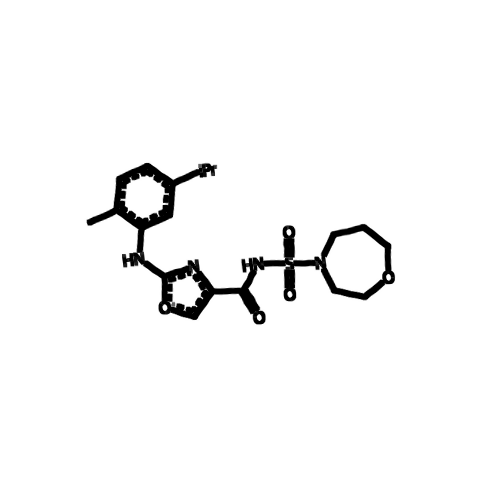 Cc1ccc(C(C)C)cc1Nc1nc(C(=O)NS(=O)(=O)N2CCCOCC2)co1